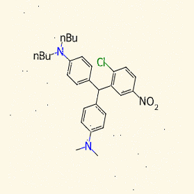 CCCCN(CCCC)c1ccc(C(c2ccc(N(C)C)cc2)c2cc([N+](=O)[O-])ccc2Cl)cc1